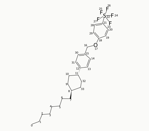 CCCCCCCC[C@H]1CC[C@H](c2ccc(COc3ccc(S(F)(F)(F)(F)F)cc3)cc2)CC1